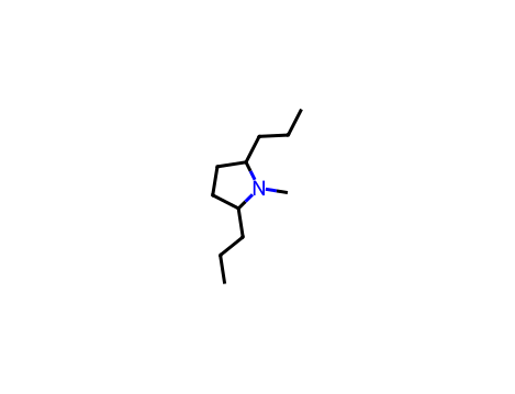 CCCC1CCC(CCC)N1C